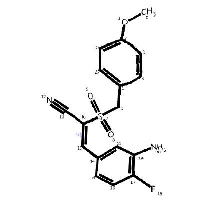 COc1ccc(CS(=O)(=O)/C(C#N)=C\c2ccc(F)c(N)c2)cc1